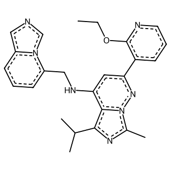 CCOc1ncccc1-c1cc(NCc2cccc3cncn23)c2c(C(C)C)nc(C)n2n1